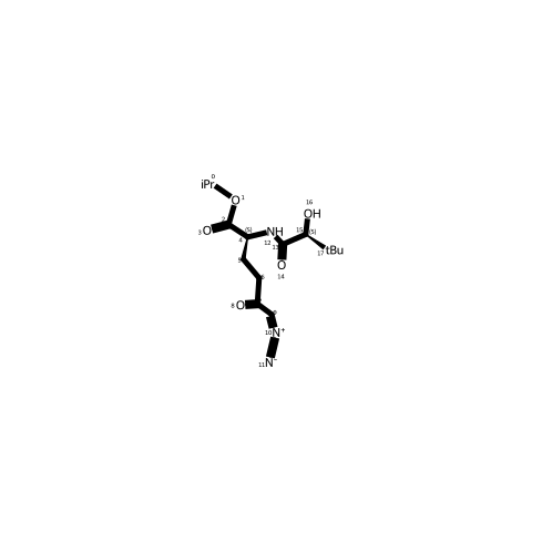 CC(C)OC(=O)[C@H](CCC(=O)C=[N+]=[N-])NC(=O)[C@@H](O)C(C)(C)C